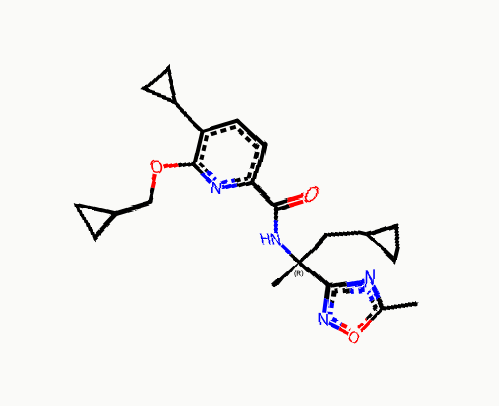 Cc1nc([C@@](C)(CC2CC2)NC(=O)c2ccc(C3CC3)c(OCC3CC3)n2)no1